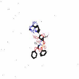 CC[C@H](N[P@](=O)(Oc1ccccc1)OC1[C@H]2O[C@@H](c3ccc4c(N)ncnn34)[C@H](O)[C@@]12O)C(=O)OC1CCCCC1